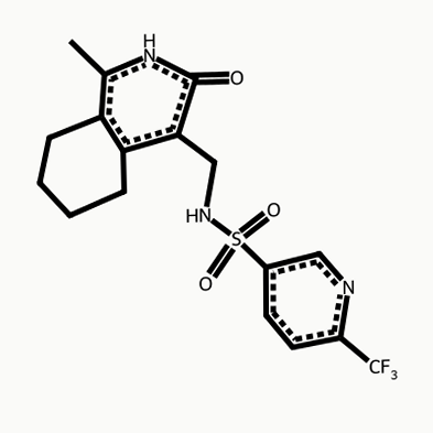 Cc1[nH]c(=O)c(CNS(=O)(=O)c2ccc(C(F)(F)F)nc2)c2c1CCCC2